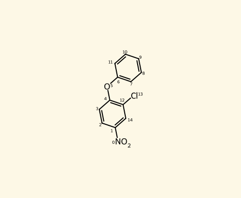 O=[N+]([O-])c1ccc(Oc2ccccc2)c(Cl)c1